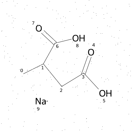 CC(CC(=O)O)C(=O)O.[Na]